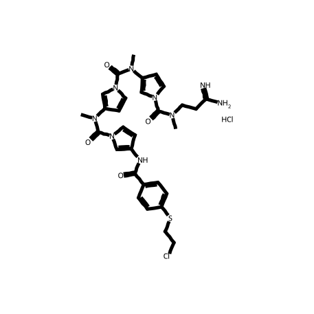 CN(CCC(=N)N)C(=O)n1ccc(N(C)C(=O)n2ccc(N(C)C(=O)n3ccc(NC(=O)c4ccc(SCCCl)cc4)c3)c2)c1.Cl